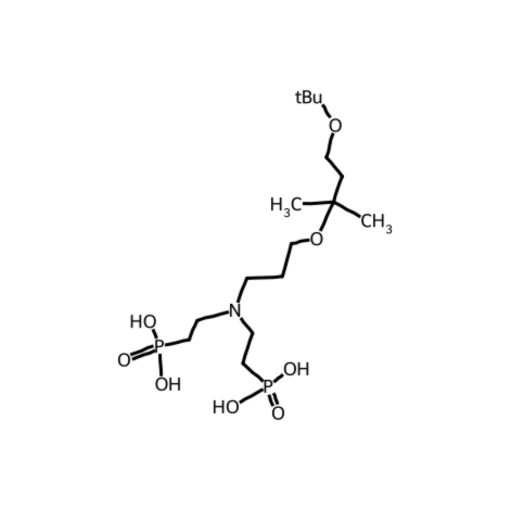 CC(C)(C)OCCC(C)(C)OCCCN(CCP(=O)(O)O)CCP(=O)(O)O